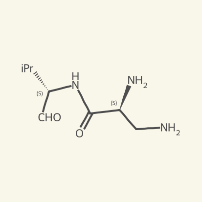 CC(C)[C@@H](C=O)NC(=O)[C@@H](N)CN